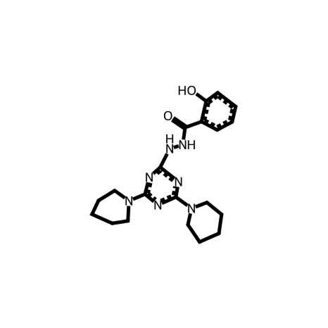 O=C(NNc1nc(N2CCCCC2)nc(N2CCCCC2)n1)c1ccccc1O